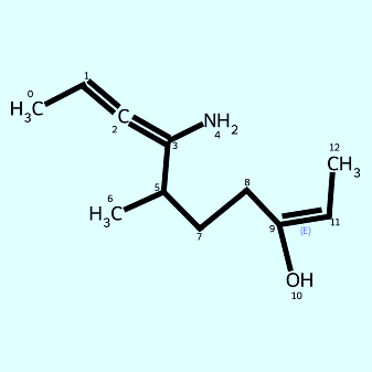 CC=C=C(N)C(C)CC/C(O)=C\C